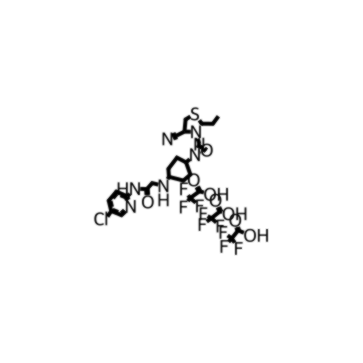 CCC1SCC(C#N)N1n1on1C1CCC(NCC(=O)Nc2ccc(Cl)cn2)CC1.O=C(O)C(F)(F)F.O=C(O)C(F)(F)F.O=C(O)C(F)(F)F